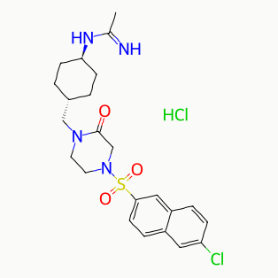 CC(=N)N[C@H]1CC[C@H](CN2CCN(S(=O)(=O)c3ccc4cc(Cl)ccc4c3)CC2=O)CC1.Cl